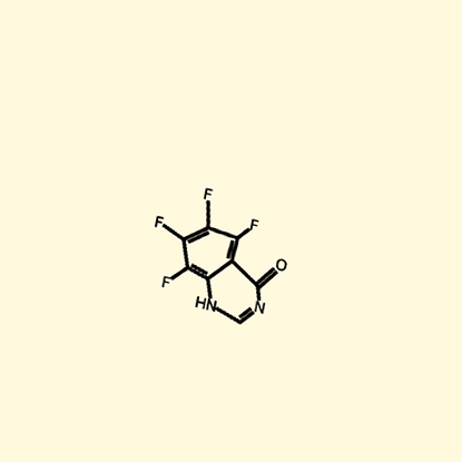 O=c1nc[nH]c2c(F)c(F)c(F)c(F)c12